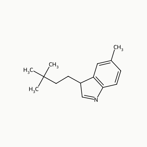 Cc1ccc2c(c1)C(CCC(C)(C)C)C=N2